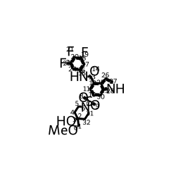 COCC1(O)CCN(S(=O)(=O)c2cc(C(=O)Nc3cc(F)c(F)c(F)c3)c3cc[nH]c3c2)CC1